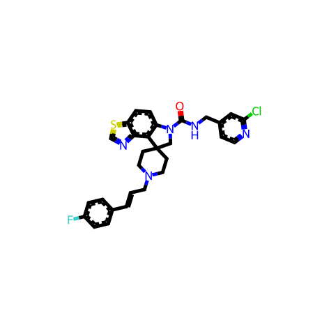 O=C(NCc1ccnc(Cl)c1)N1CC2(CCN(CC=Cc3ccc(F)cc3)CC2)c2c1ccc1scnc21